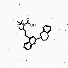 CC1(C)OCC(C=Cc2cc(N3CCCc4ccccc4C3)nc3ccccc23)N1C(=O)O